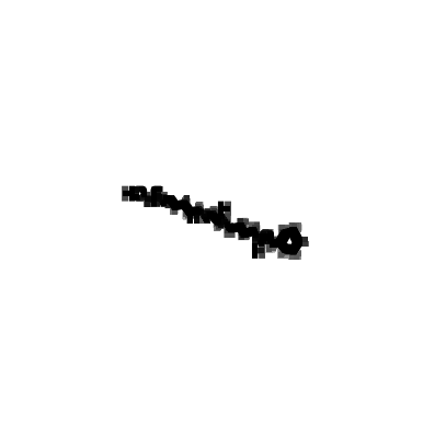 O=C(O)NCCCCCNCCNCCCCNOCc1ccccc1